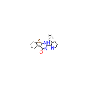 Cc1cccnc1-c1nc(=O)c2c3c(sc2[nH]1)CCCC3